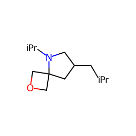 CC(C)CC1CN(C(C)C)C2(COC2)C1